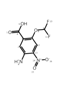 Nc1cc(C(=O)O)c(OC(F)F)cc1[N+](=O)[O-]